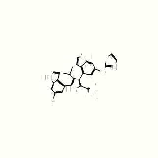 CC(C)c1c(-c2cc(F)cc3[nH]ccc23)[nH]c(C(=O)O)c1-c1cc(Oc2nccs2)cc2[nH]ccc12